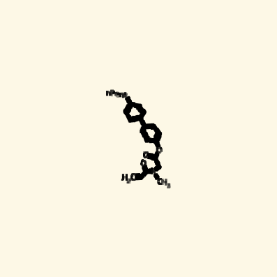 C=CC(=O)N(C)CC(=O)Oc1ccc(-c2ccc(CCCCC)cc2)cc1